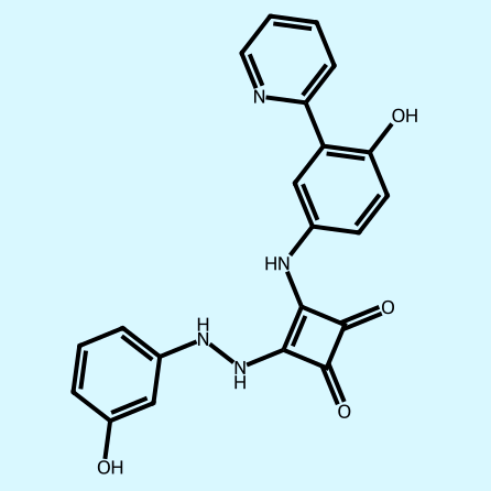 O=c1c(NNc2cccc(O)c2)c(Nc2ccc(O)c(-c3ccccn3)c2)c1=O